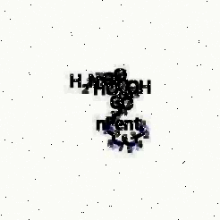 CCCCC/C=C\C/C=C\C/C=C\C/C=C\CCCC(=O)O[C@@H](CO)COP(=O)(O)OCCN